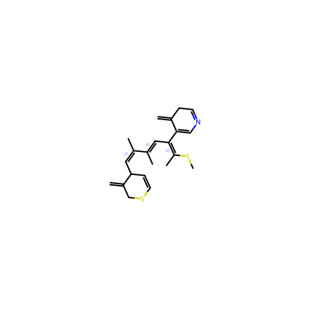 C=C1CC=NC=C1C(/C=C(C)/C(C)=C\C1C=CSCC1=C)=C(/C)SC